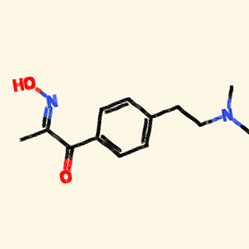 CC(=NO)C(=O)c1ccc(CCN(C)C)cc1